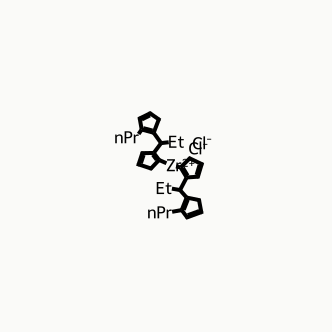 CCCC1=C(C(CC)C2=[C]([Zr+2][C]3=C(C(CC)C4=C(CCC)C=CC4)C=CC3)CC=C2)CC=C1.[Cl-].[Cl-]